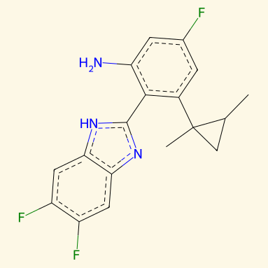 CC1CC1(C)c1cc(F)cc(N)c1-c1nc2cc(F)c(F)cc2[nH]1